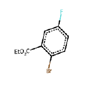 CCOC(=O)c1cc(F)ccc1Br